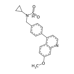 COc1ccc2c(-c3ccc(CN(C4CC4)[SH](=O)=O)cc3)ccnc2c1